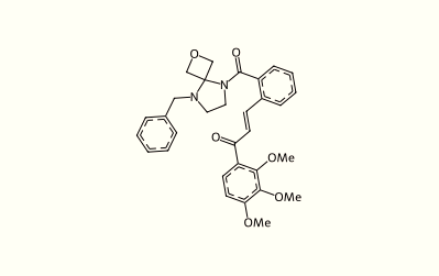 COc1ccc(C(=O)/C=C/c2ccccc2C(=O)N2CCN(Cc3ccccc3)C23COC3)c(OC)c1OC